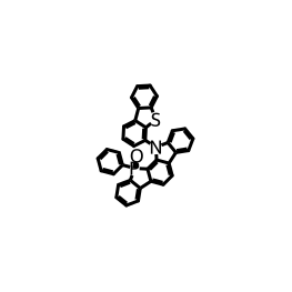 O=P1(c2ccccc2)c2ccccc2-c2ccc3c4ccccc4n(-c4cccc5c4sc4ccccc45)c3c21